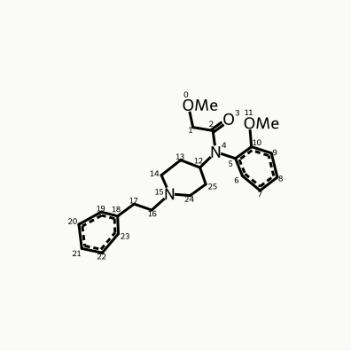 COCC(=O)N(c1ccccc1OC)C1CCN(CCc2ccccc2)CC1